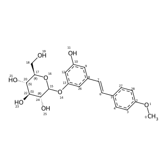 COc1ccc(C=Cc2cc(O)cc(OC3O[C@H](CO)[C@@H](O)[C@H](O)[C@H]3O)c2)cc1